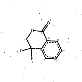 O=C1OCC(F)(F)c2ccccc21